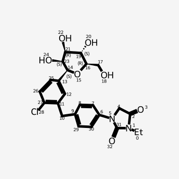 CCN1C(=O)CN(c2ccc(Cc3cc([C@@H]4O[C@H](CO)[C@@H](O)[C@H](O)[C@@H]4O)ccc3Cl)cc2)C1=O